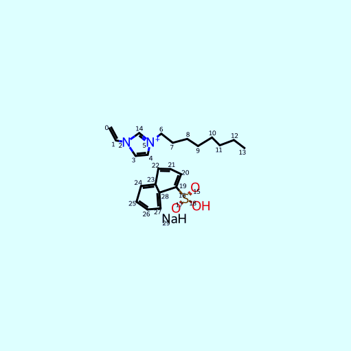 C=Cn1cc[n+](CCCCCCCC)c1.O=S(=O)(O)c1cccc2ccccc12.[NaH]